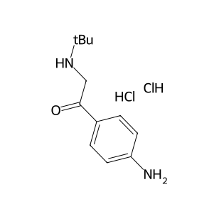 CC(C)(C)NCC(=O)c1ccc(N)cc1.Cl.Cl